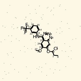 CCC(Cl)Oc1cc2nnnc(Nc3cccc(C(F)(F)F)c3)c2cc1OC